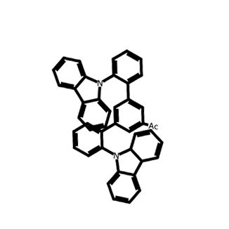 CC(=O)c1cc(-c2ccccc2N2c3ccccc3C3C=CC=CC32)cc(-c2ccccc2-n2c3ccccc3c3ccccc32)c1